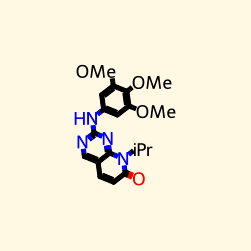 COc1cc(Nc2ncc3ccc(=O)n(C(C)C)c3n2)cc(OC)c1OC